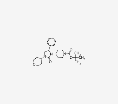 CC(C)(C)OC(=O)N1CCC(N2C(=O)N(C3CCOCC3)CC2c2ccccc2)CC1